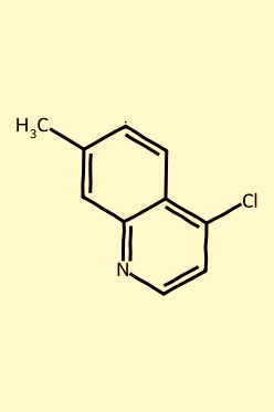 Cc1[c]cc2c(Cl)ccnc2c1